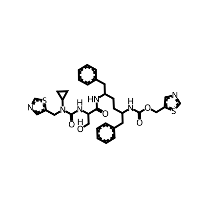 O=C(NC(CCC(Cc1ccccc1)NC(=O)C(CO)NC(=O)N(Cc1cncs1)C1CC1)Cc1ccccc1)OCc1cncs1